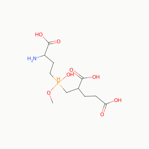 CO[PH](O)(CCC(N)C(=O)O)CC(CCC(=O)O)C(=O)O